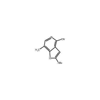 CCCCc1cc2c(C#N)ncc(C)c2o1